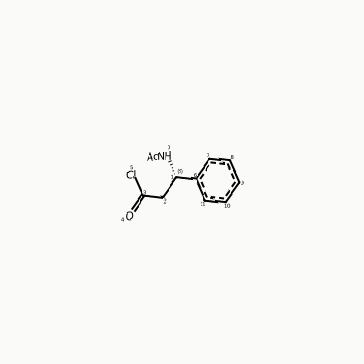 CC(=O)N[C@@H](CC(=O)Cl)c1ccccc1